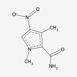 Cc1c([N+](=O)[O-])cn(C)c1C(N)=O